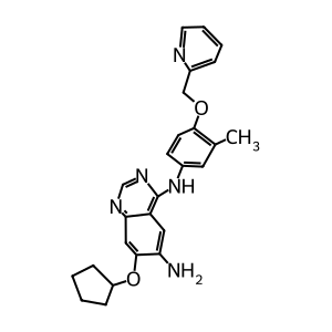 Cc1cc(Nc2ncnc3cc(OC4CCCC4)c(N)cc23)ccc1OCc1ccccn1